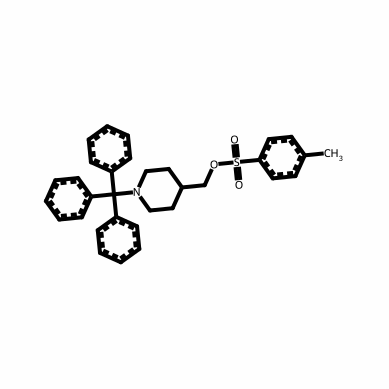 Cc1ccc(S(=O)(=O)OCC2CCN(C(c3ccccc3)(c3ccccc3)c3ccccc3)CC2)cc1